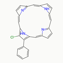 Clc1c(-c2ccccc2)c2cc3nc(cc4ccc(cc5nc(cc1[nH]2)C=C5)[nH]4)C=C3